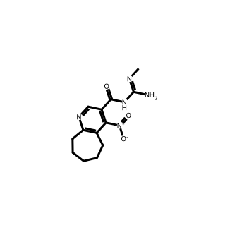 CN=C(N)NC(=O)c1cnc2c(c1[N+](=O)[O-])CCCCC2